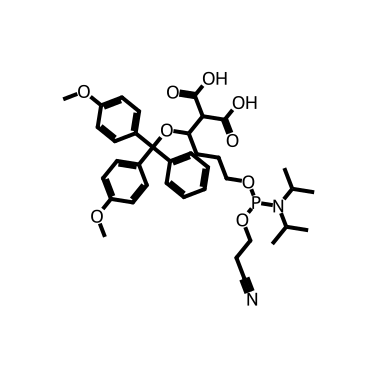 COc1ccc(C(OC(CCCOP(OCCC#N)N(C(C)C)C(C)C)C(C(=O)O)C(=O)O)(c2ccccc2)c2ccc(OC)cc2)cc1